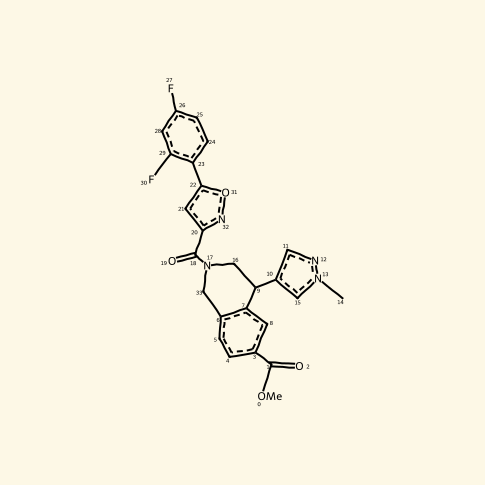 COC(=O)c1ccc2c(c1)C(c1cnn(C)c1)CN(C(=O)c1cc(-c3ccc(F)cc3F)on1)C2